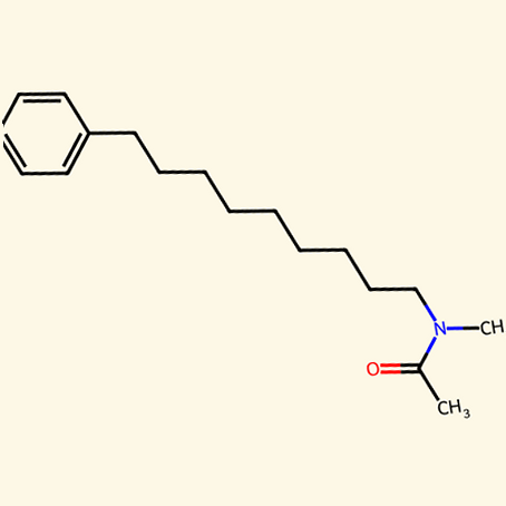 CC(=O)N(C)CCCCCCCCCc1ccccc1